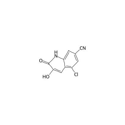 N#Cc1cc(Cl)c2cc(O)c(=O)[nH]c2c1